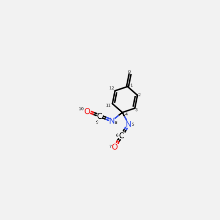 C=C1C=CC(N=C=O)(N=C=O)C=C1